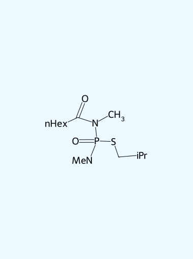 CCCCCCC(=O)N(C)P(=O)(NC)SCC(C)C